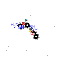 Nc1cc(Oc2ccc(NC(=S)NC(=O)Cc3ccccc3)cc2F)ncn1